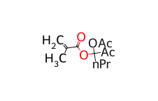 C=C(C)C(=O)OC(CCC)(OC(C)=O)C(C)=O